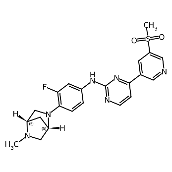 CN1C[C@@H]2C[C@H]1CN2c1ccc(Nc2nccc(-c3cncc(S(C)(=O)=O)c3)n2)cc1F